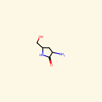 NC1CC(CO)NC1=O